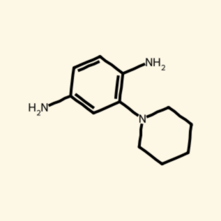 Nc1ccc(N)c(N2CCCCC2)c1